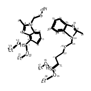 CCCSCn1c(C)nc2c([SiH](OCC)OCC)cccc21.CCO[SiH](CCCSCn1c(C)nc2ccccc21)OCC